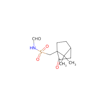 CC1(C)C2CCC1(CS(=O)(=O)NC=O)C(=O)C2